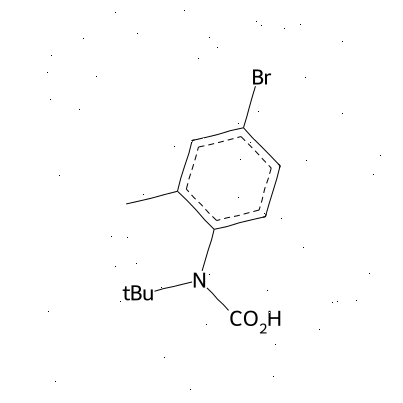 Cc1cc(Br)ccc1N(C(=O)O)C(C)(C)C